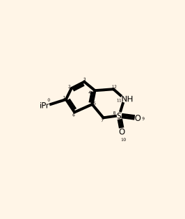 CC(C)c1ccc2c(c1)CS(=O)(=O)NC2